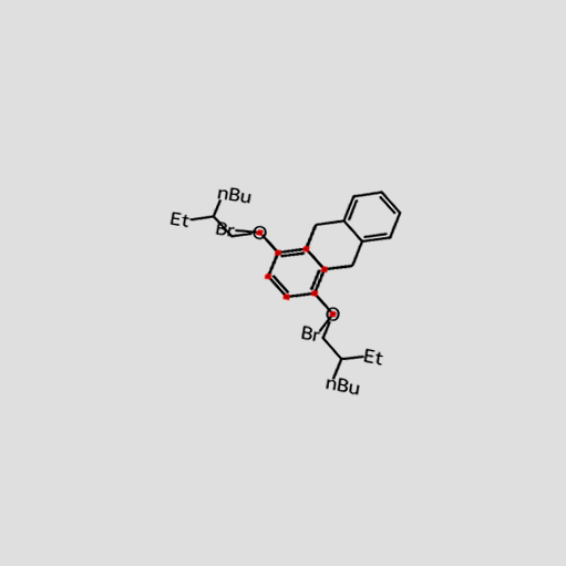 CCCCC(CC)COc1ccc(OCC(CC)CCCC)c2c1C1c3ccccc3C2c2c(CBr)ccc(CBr)c21